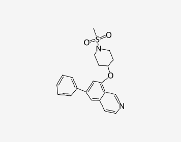 CS(=O)(=O)N1CCC(Oc2cc(-c3ccccc3)cc3ccncc23)CC1